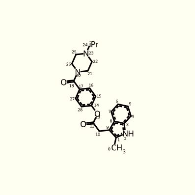 Cc1[nH]c2ccccc2c1CC(=O)Oc1ccc(C(=O)N2CCN(C(C)C)CC2)cc1